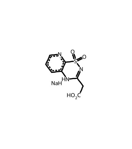 O=C(O)CC1=NS(=O)(=O)c2ncccc2N1.[NaH]